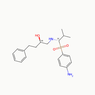 CC(C)[C@@H](NC[C@H](O)[CH]Cc1ccccc1)S(=O)(=O)c1ccc(N)cc1